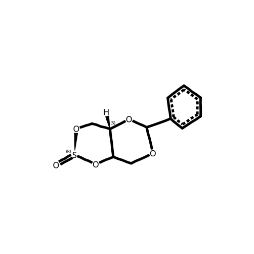 O=[S@]1OC[C@@H]2OC(c3ccccc3)OCC2O1